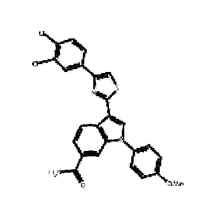 COc1ccc(-n2cc(-c3nc(-c4ccc(Cl)c(Cl)c4)cs3)c3ccc(C(N)=O)cc32)cc1